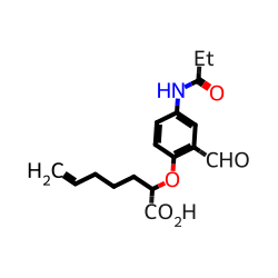 C=CCCCC(Oc1ccc(NC(=O)CC)cc1C=O)C(=O)O